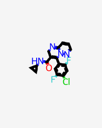 O=C(NC1CC1)C1=C(c2cc(F)c(Cl)cc2F)N2N=CC=CC2=NC1